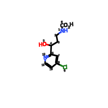 O=C(O)NCCC(O)c1cc(Cl)ccn1